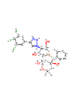 Cc1ccccc1[C@@H]([SH]1C[C@H](O)[C@H](n2cc(-c3cc(F)c(F)c(F)c3)nn2)[C@@H](O)[C@H]1CO)[C@@]1(O)CCOC(C)(C)C1